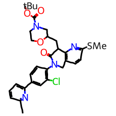 CSc1ccc2c(n1)C(CC1CN(C(=O)OC(C)(C)C)CCO1)C(=O)N(c1ccc(-c3cccc(C)n3)cc1Cl)C2